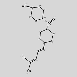 C=C([C@H]1CC[C@H](/C=C/C=C(\F)C#N)CC1)[C@H]1CC[C@H](CCCC)CC1